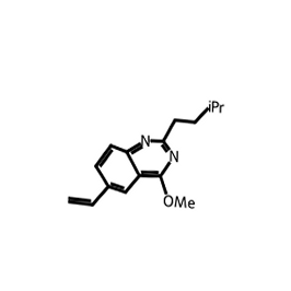 C=Cc1ccc2nc(CCC(C)C)nc(OC)c2c1